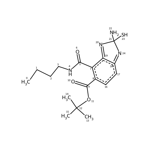 CCCCNC(=O)c1c(C(=O)OC(C)(C)C)ccc2c1=NC(N)(S)N=2